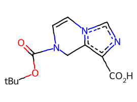 CC(C)(C)OC(=O)N1C=Cn2cnc(C(=O)O)c2C1